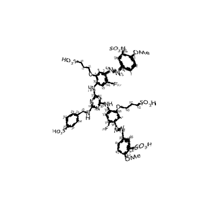 COc1ccc(N=Nc2cc(OCCCS(=O)(=O)O)c(Nc3nc(NCc4ccc(S(=O)(=O)O)cc4)nc(Nc4cc(F)c(N=Nc5ccc(OC)c(S(=O)(=O)O)c5)cc4OCCCS(=O)(=O)O)n3)cc2F)cc1S(=O)(=O)O